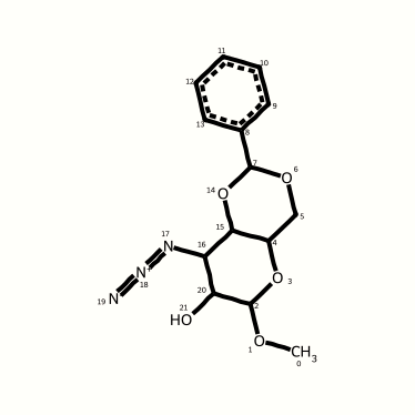 COC1OC2COC(c3ccccc3)OC2C(N=[N+]=[N-])C1O